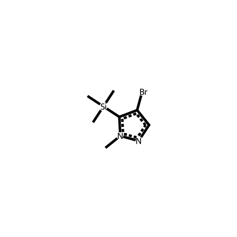 Cn1ncc(Br)c1[Si](C)(C)C